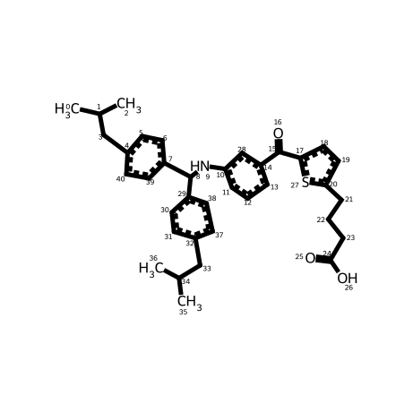 CC(C)Cc1ccc(C(Nc2cccc(C(=O)c3ccc(CCCC(=O)O)s3)c2)c2ccc(CC(C)C)cc2)cc1